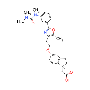 Cc1oc(-c2cccc(N(C)C(=O)N(C)C)c2)nc1CCOc1ccc2c(c1)CC[C@H]2CC(=O)O